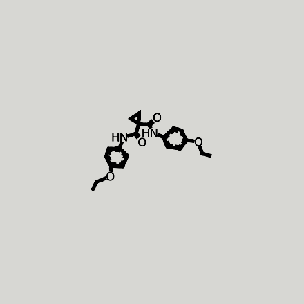 CCOc1ccc(NC(=O)C2(C(=O)Nc3ccc(OCC)cc3)CC2)cc1